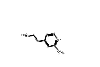 COc1cc(CCC=O)ccn1